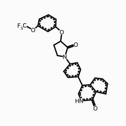 O=C1C(Oc2cccc(OC(F)(F)F)c2)CCN1c1ccc(-c2c[nH]c(=O)c3ccccc23)cc1